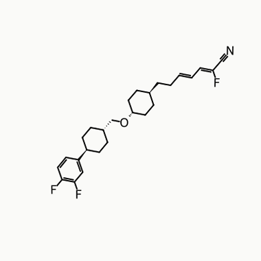 N#CC(F)=CC=CCC[C@H]1CC[C@H](OC[C@H]2CC[C@H](c3ccc(F)c(F)c3)CC2)CC1